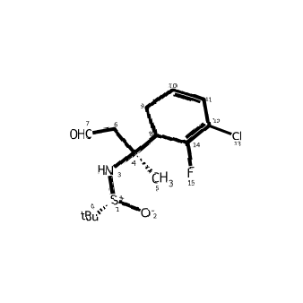 CC(C)(C)[S@@+]([O-])N[C@@](C)(CC=O)C1CC=CC(Cl)=C1F